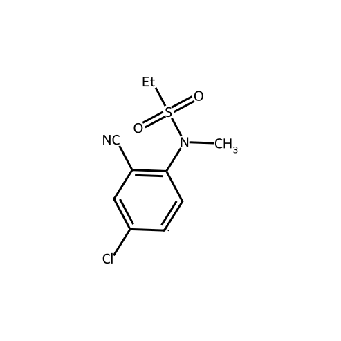 CCS(=O)(=O)N(C)c1c[c]c(Cl)cc1C#N